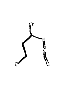 CCC(CCCl)N=C=O